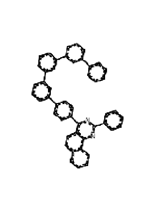 c1ccc(-c2cccc(-c3cccc(-c4cccc(-c5ccc(-c6nc(-c7ccccc7)nc7c6ccc6ccccc67)cc5)c4)c3)c2)cc1